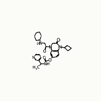 CC(NC(=O)Oc1ccc2c(c1)N(C(=O)CNC1CCCCC1)CC(=O)N2C1CCC1)c1cccnc1